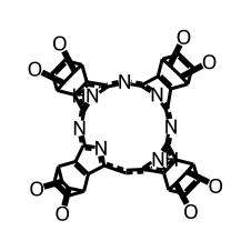 O=C1C(=O)C2C=CC1C1=C2c2nc1cc1[nH]c(nc3nc(nc4[nH]c(n2)c2c4C4C=CC2C(=O)C4=O)C2=C3C3C=CC2C(=O)C3=O)c2c1C1C=CC2C(=O)C1=O